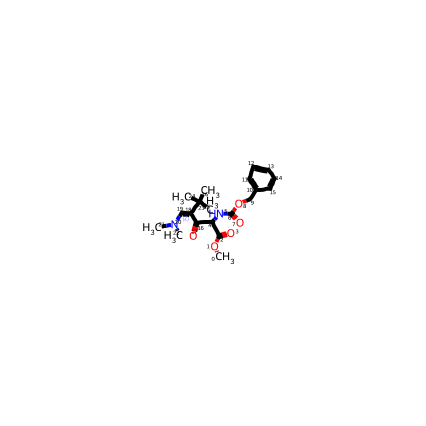 COC(=O)C(NC(=O)OCc1ccccc1)C(=O)/C(=C\N(C)C)C(C)(C)C